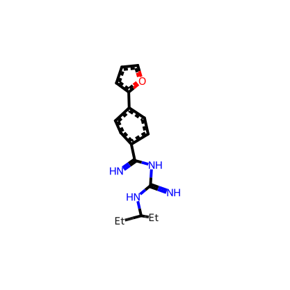 CCC(CC)NC(=N)NC(=N)c1ccc(-c2ccco2)cc1